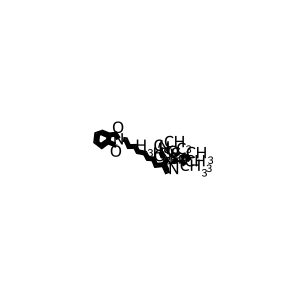 CN(C)S(=O)(=O)n1c(CCCCCCCCN2C(=O)c3ccccc3C2=O)cnc1[Si](C)(C)C(C)(C)C